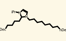 CCCCCCCCCCCCCCCCCCN1C=CN(C(C)C)C1CCCCCCCCCCCCCC